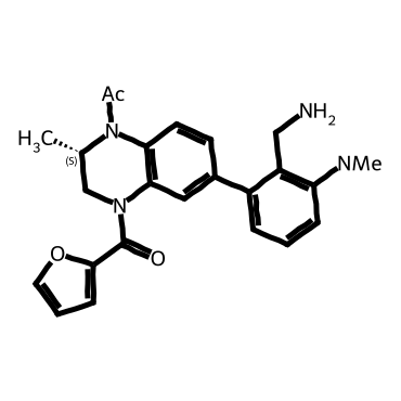 CNc1cccc(-c2ccc3c(c2)N(C(=O)c2ccco2)C[C@H](C)N3C(C)=O)c1CN